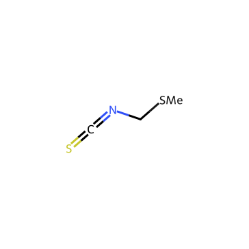 CSCN=C=S